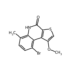 COc1csc2c(=O)[nH]c3c(C)ccc(Br)c3c12